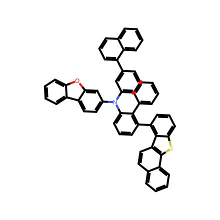 c1ccc(-c2c(-c3cccc4sc5c6ccccc6ccc5c34)cccc2N(c2cccc(-c3cccc4ccccc34)c2)c2ccc3c(c2)oc2ccccc23)cc1